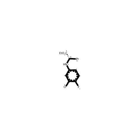 CCOC(=O)[C@@H](Nc1ccc(F)c(Cl)c1)C(C)C